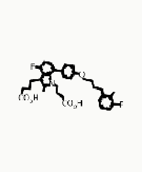 Cc1c(F)cccc1CCCCOc1ccc(-c2ccc(F)c3c(CCCC(=O)O)c(C)n(CCCC(=O)O)c23)cc1